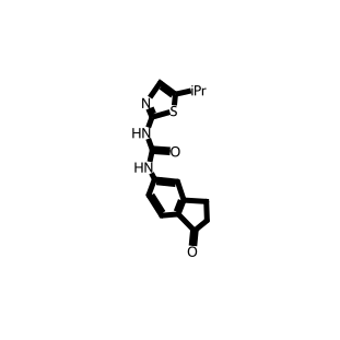 CC(C)c1cnc(NC(=O)Nc2ccc3c(c2)CCC3=O)s1